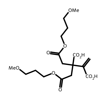 C=C(C(=O)O)C(CC(=O)OCCCOC)(CC(=O)OCCCOC)C(=O)O